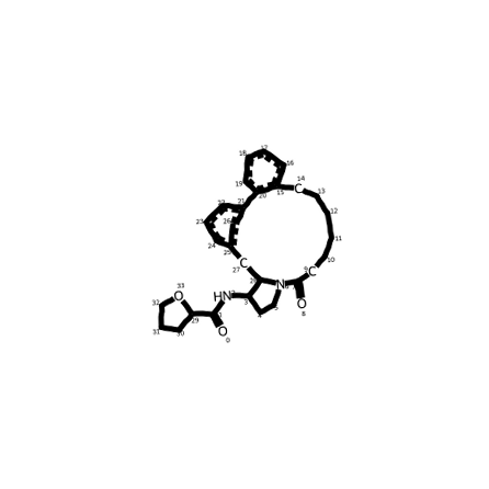 O=C(NC1CCN2C(=O)CCCCCCc3ccccc3-c3cccc(c3)CC12)C1CCCO1